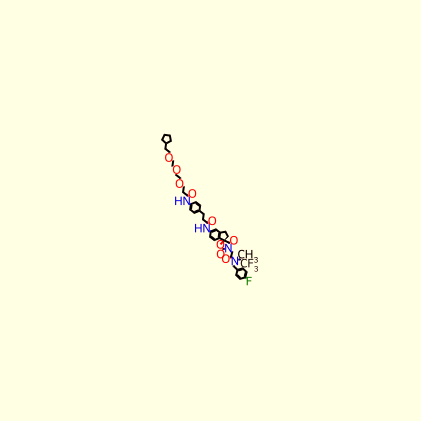 C[C@H](N(Cc1ccc(F)cc1)C(=O)CN1C(=O)O[C@@]2(CCc3cc(NC(=O)CCc4ccc(NC(=O)CCOCCOCCOCCC5CCCC5)cc4)ccc32)C1=O)C(F)(F)F